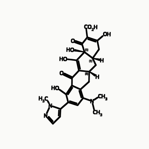 CN(C)c1cc(-c2ccnn2C)c(O)c2c1C[C@H]1C[C@H]3CC(O)=C(C(=O)O)C(=O)[C@@]3(O)C(O)=C1C2=O